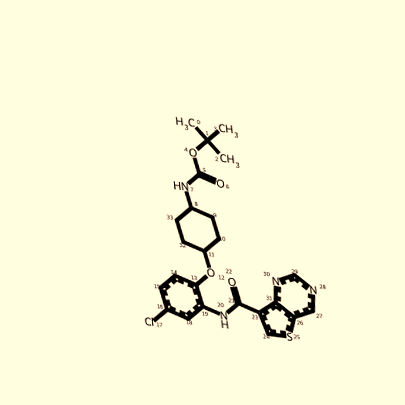 CC(C)(C)OC(=O)NC1CCC(Oc2ccc(Cl)cc2NC(=O)c2csc3cncnc23)CC1